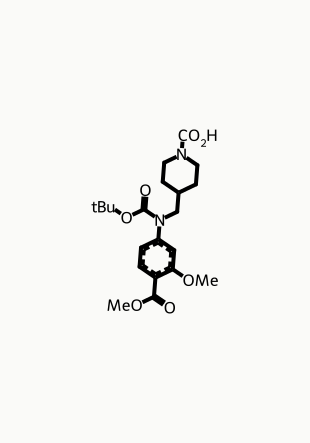 COC(=O)c1ccc(N(CC2CCN(C(=O)O)CC2)C(=O)OC(C)(C)C)cc1OC